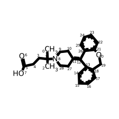 CC(C)(CCC(=O)O)N1CCC(=C2c3ccccc3COc3ccccc32)CC1